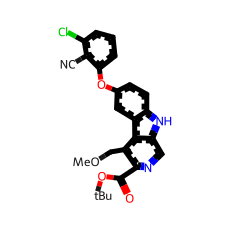 COCc1c(C(=O)OC(C)(C)C)ncc2[nH]c3ccc(Oc4cccc(Cl)c4C#N)cc3c12